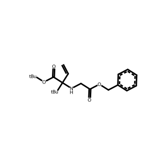 C=CC(NCC(=O)OCc1ccccc1)(C(=O)OC(C)(C)C)C(C)(C)C